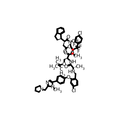 C[C@H](NCc1ccc(Cl)cc1Oc1ccc(-c2cnc(CN3CCCC3)n2C)cc1)C(=O)N[C@@H](COC(C)(C)C)C(=O)N(C)[C@H](Cc1ccc(Cl)cc1)CN(C)C(=O)[C@@H](CC(=O)OC(=O)C(F)(F)F)[C@H]1CCc2ccccc21